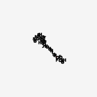 CCc1cc(Nc2ncc(Br)c(Nc3ccc4c(=O)n(C)cnc4c3P(C)(C)=O)n2)c(OC)cc1N1CCC(N2CCN(CCC3CCN(c4cc(F)c(C5CCC(=O)NC5=O)c(F)c4)CC3)CC2)CC1